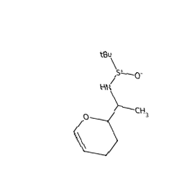 CC(N[S+]([O-])C(C)(C)C)C1CCC=CO1